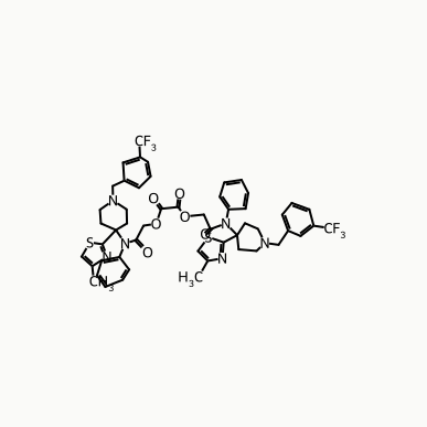 Cc1csc(C2(N(C(=O)COC(=O)C(=O)OCC(=O)N(c3ccccc3)C3(c4nc(C)cs4)CCN(Cc4cccc(C(F)(F)F)c4)CC3)c3ccccc3)CCN(Cc3cccc(C(F)(F)F)c3)CC2)n1